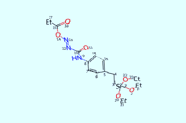 CCO[Si](CCc1ccc(NC(=O)N=NOC(=O)CC)cc1)(OCC)OCC